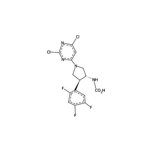 O=C(O)N[C@H]1CN(c2cc(Cl)nc(Cl)n2)C[C@@H]1c1cc(F)c(F)cc1F